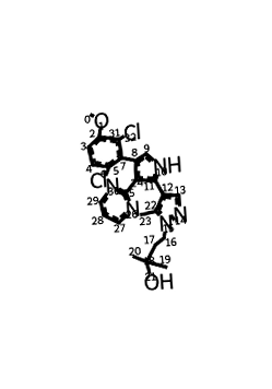 COc1ccc(Cl)c(-c2c[nH]c(-c3cnn(CCC(C)(C)O)c3C)c2-c2ncccn2)c1Cl